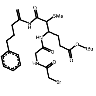 C=C(CCCc1ccccc1)NC(=O)C(SC)C(CCC(=O)OC(C)(C)C)NC(=O)CNC(=O)CBr